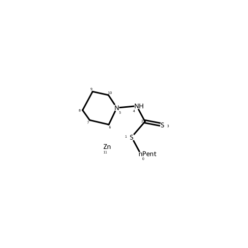 CCCCCSC(=S)NN1CCCCC1.[Zn]